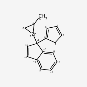 C[CH]1[CH2][Zr]1[C]1(C2=CC=CC2)C=Cc2ccccc21